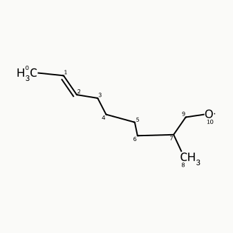 CC=CCCCCC(C)C[O]